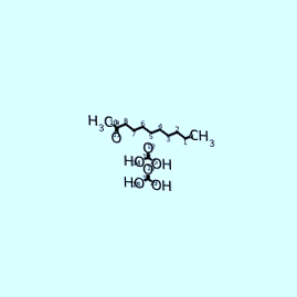 CCCCCCCCCC(C)=O.O=C(O)O.O=C(O)O